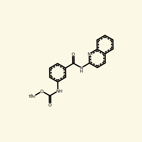 CC(C)(C)OC(=O)Nc1cccc(C(=O)Nc2ccc3ccccc3n2)c1